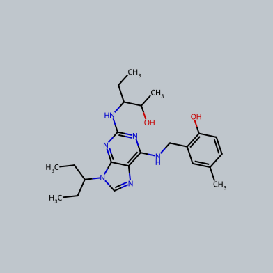 CCC(Nc1nc(NCc2cc(C)ccc2O)c2ncn(C(CC)CC)c2n1)C(C)O